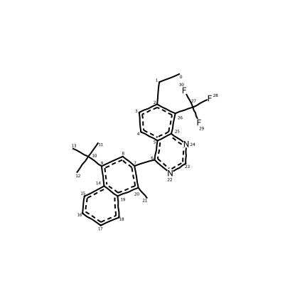 CCc1ccc2c(-c3cc(C(C)(C)C)c4ccccc4c3C)ncnc2c1C(F)(F)F